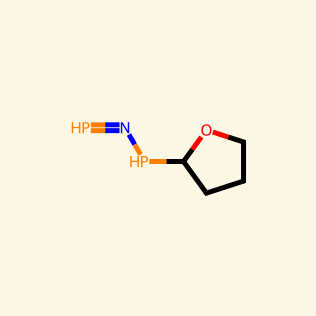 P=NPC1CCCO1